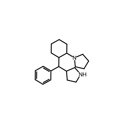 c1ccc(C(C2CCNC2)C2CCCCC2N2CCCC2)cc1